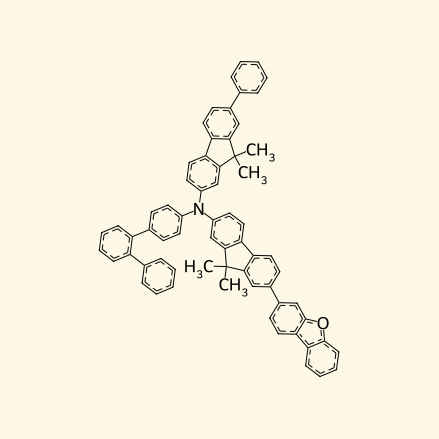 CC1(C)c2cc(-c3ccccc3)ccc2-c2ccc(N(c3ccc(-c4ccccc4-c4ccccc4)cc3)c3ccc4c(c3)C(C)(C)c3cc(-c5ccc6c(c5)oc5ccccc56)ccc3-4)cc21